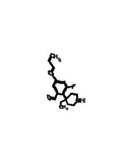 CCCOc1cc(F)c(C2(CC)CCNCC2)c(C=O)c1